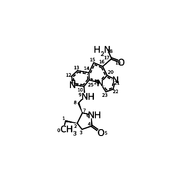 CC[C@@H]1CC(=O)N[C@@H]1CNc1nccc2cc(C(N)=O)c3nccn3c12